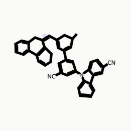 CC1C=C(c2cc(C#N)cc(-n3c4ccccc4c4cc(C#N)ccc43)c2)C=C(/C=C2/Cc3ccccc3C3=C2CCC=C3)C1